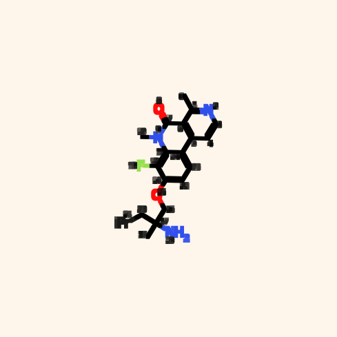 Cc1nccc2c1c(=O)n(C)c1c(F)c(OCC(C)(N)CC(C)C)ccc21